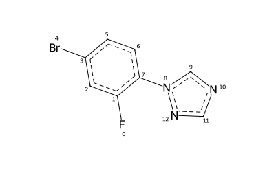 Fc1cc(Br)ccc1-n1cncn1